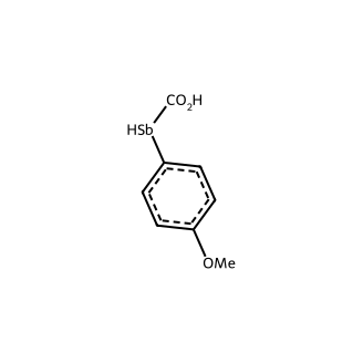 COc1cc[c]([SbH][C](=O)O)cc1